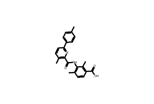 Cc1ccc(-c2ccc(C)c(C(=O)Nc3c(C)ccc(C(=O)O)c3C)n2)cc1